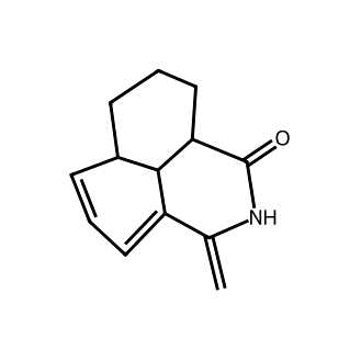 C=C1NC(=O)C2CCCC3C=CC=C1C32